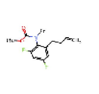 C=CCCc1cc(F)cc(F)c1N(CC)C(=O)OC(C)(C)C